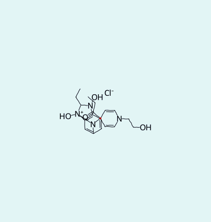 CCC(=O)C1(N2c3ccc4c(c3)[N+]2(O)C(CC)N4O)C=CN(CCO)C=C1.[Cl-]